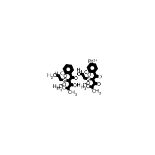 CCC[Si](OC)(OC)C(C(=O)c1ccccc1)C(=O)C(C)C.CCC[Si](OC)(OC)C(C(=O)c1ccccc1)C(=O)C(C)C.[Pt+2]